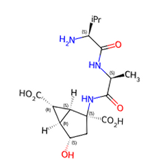 CC(C)[C@H](N)C(=O)N[C@@H](C)C(=O)N[C@@]1(C(=O)O)C[C@H](O)[C@H]2[C@H](C(=O)O)[C@H]21